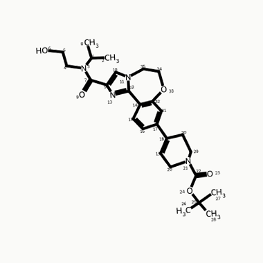 CC(C)N(CCO)C(=O)c1cn2c(n1)-c1ccc(C3=CCN(C(=O)OC(C)(C)C)CC3)cc1OCC2